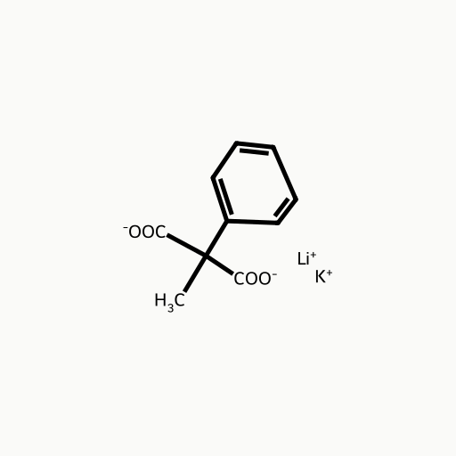 CC(C(=O)[O-])(C(=O)[O-])c1ccccc1.[K+].[Li+]